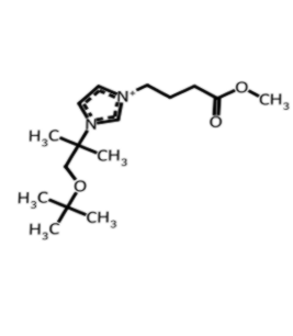 COC(=O)CCC[n+]1ccn(C(C)(C)COC(C)(C)C)c1